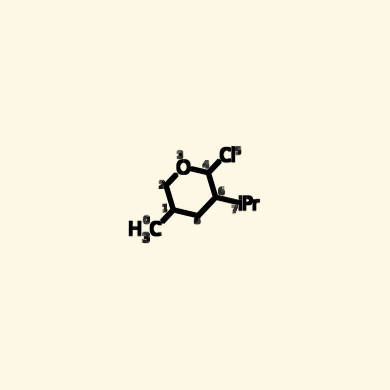 CC1COC(Cl)C(C(C)C)C1